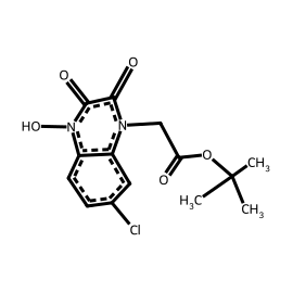 CC(C)(C)OC(=O)Cn1c(=O)c(=O)n(O)c2ccc(Cl)cc21